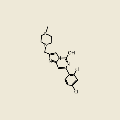 CN1CCN(Cc2cn3c(O)nc(-c4ccc(Cl)cc4Cl)cc3n2)CC1